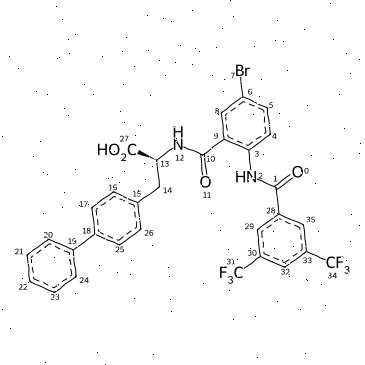 O=C(Nc1ccc(Br)cc1C(=O)N[C@@H](Cc1ccc(-c2ccccc2)cc1)C(=O)O)c1cc(C(F)(F)F)cc(C(F)(F)F)c1